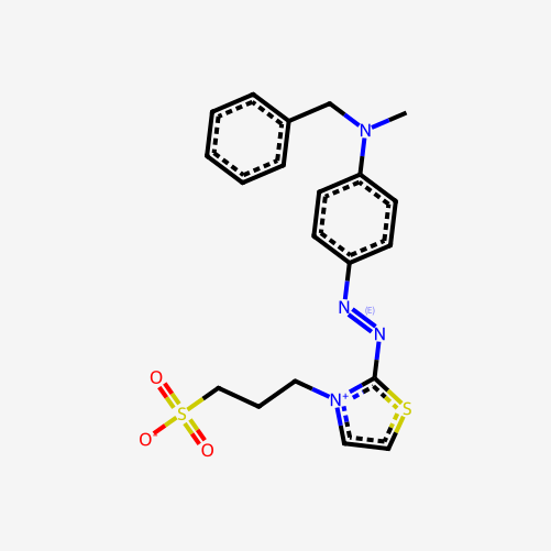 CN(Cc1ccccc1)c1ccc(/N=N/c2scc[n+]2CCCS(=O)(=O)[O-])cc1